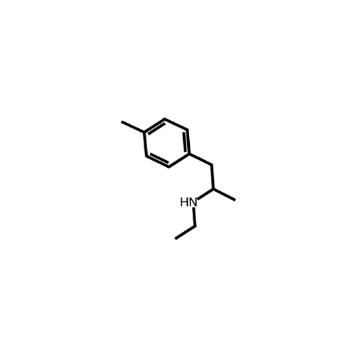 CCNC(C)Cc1ccc(C)cc1